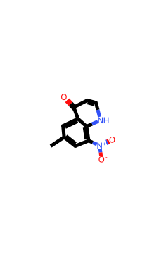 Cc1cc([N+](=O)[O-])c2[nH]ccc(=O)c2c1